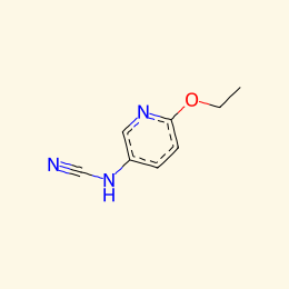 CCOc1ccc(NC#N)cn1